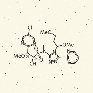 COCCC(OC)n1c(NS(=O)(=O)[C@@H](C)[C@H](OC)c2ncc(Cl)cn2)nnc1-c1ccccn1